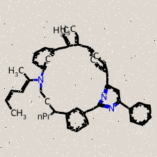 C/C=C\C=C(/C)N1CCC(CCC)c2cccc(c2)-c2nc(-c3ccccc3)cc(n2)-c2ccc(cc2)C(=C/C)/C(=C\C)c2cccc1c2